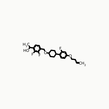 C=CCCOc1ccc(C2CCC(OCc3ccc(C(C)O)c(F)c3F)CC2)c(F)c1